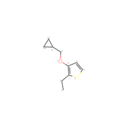 CCc1sccc1OCC1CC1